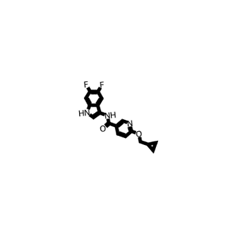 O=C(Nc1c[nH]c2cc(F)c(F)cc12)c1ccc(OCC2CC2)nc1